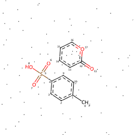 Cc1ccc(S(=O)(=O)O)cc1.O=c1cccco1